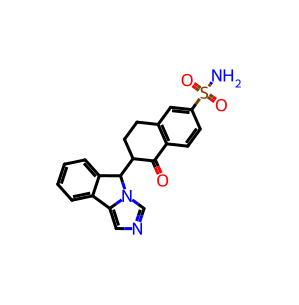 NS(=O)(=O)c1ccc2c(c1)CCC(C1c3ccccc3-c3cncn31)C2=O